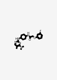 Cc1cnc(NC2CCC(NC(=O)COc3cccc(F)c3)CC2)nc1N(C)C